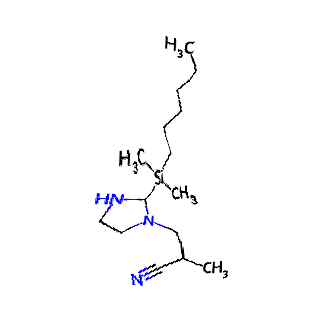 CCCCCC[Si](C)(C)C1NCCN1CC(C)C#N